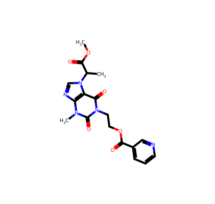 COC(=O)C(C)n1cnc2c1c(=O)n(CCOC(=O)c1cccnc1)c(=O)n2C